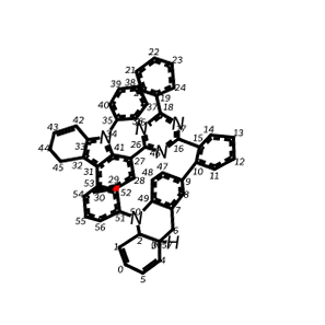 C1=CC2[C@@H](C=C1)Cc1cc(-c3ccccc3-c3nc(-c4ccccc4)nc(-c4cccc5c6c(n(-c7ccccc7)c45)C=CCC6)n3)ccc1N2c1ccccc1